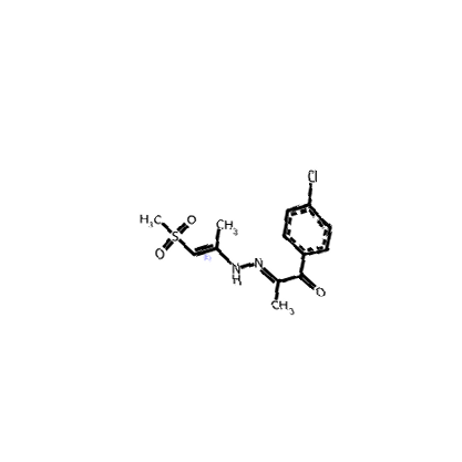 CC(=NN/C(C)=C/S(C)(=O)=O)C(=O)c1ccc(Cl)cc1